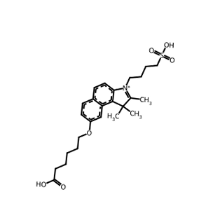 CC1=[N+](CCCCS(=O)(=O)O)c2ccc3ccc(OCCCCCC(=O)O)cc3c2C1(C)C